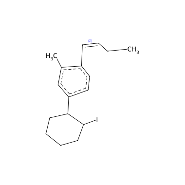 CC/C=C\c1ccc(C2CCCCC2I)cc1C